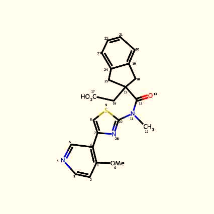 COc1ccncc1-c1csc(N(C)C(=O)C2(CC(=O)O)Cc3ccccc3C2)n1